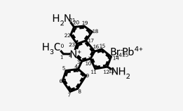 CC[n+]1c(-c2ccccc2)c2cc(N)ccc2c2ccc(N)cc21.[Br-].[Pb+4]